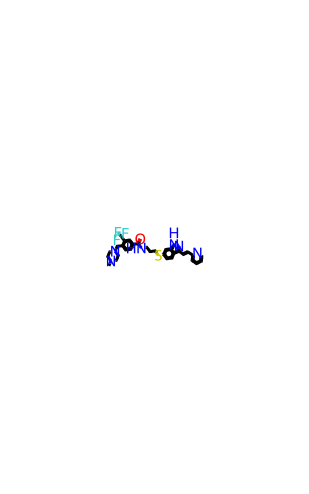 CN1CCN(Cc2ccc(C(=O)NCCCSc3ccc4c(C=Cc5ccccn5)n[nH]c4c3)cc2C(F)(F)F)CC1